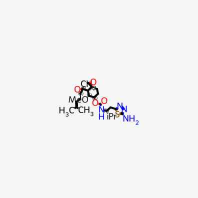 CO[C@H]1C([C@@]2(C)O[C@@H]2CC=C(C)C)[C@]2(CC[C@H]1OC(=O)N[C@H](Cc1nnc(N)s1)C(C)C)CO2